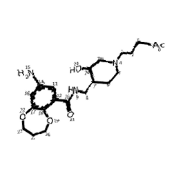 CC(=O)CCCN1CC[C@@H](CNC(=O)c2cc(N)cc3c2OCCCO3)C(O)C1